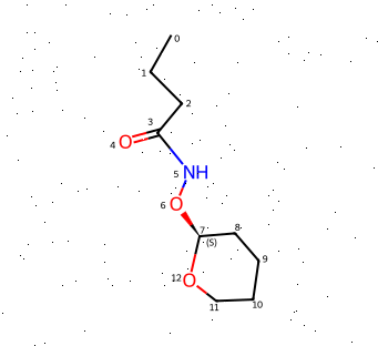 CCCC(=O)NO[C@H]1CCCCO1